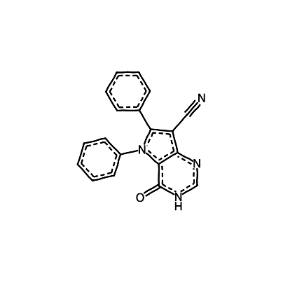 N#Cc1c(-c2ccccc2)n(-c2ccccc2)c2c(=O)[nH]cnc12